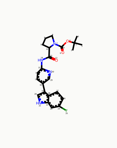 CC(C)(C)OC(=O)N1CCCC1C(=O)Nc1ccc(-c2c[nH]c3cc(F)ccc23)cn1